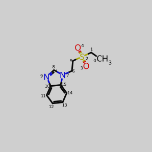 CCS(=O)(=O)CCn1[c]nc2ccccc21